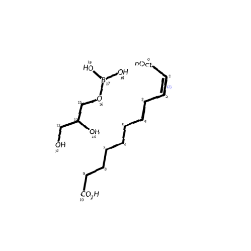 CCCCCCCC/C=C\CCCCCCCC(=O)O.OCC(O)COB(O)O